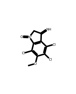 COc1c(Cl)c(Cl)c2c(c1Cl)[N+](=O)CC2=N